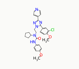 COc1ccc(NC(=O)N(CCn2nc(-c3ccncc3)nc2-c2ccc(OC)c(Cl)c2)C2CCCC2)cc1